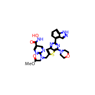 COC(=O)CN(Cc1cc2nc(-c3cccc4[nH]ncc34)nc(N3CCOCC3)c2s1)c1ncc(C(=O)NO)cn1